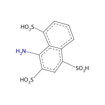 Nc1c(S(=O)(=O)O)cc(S(=O)(=O)O)c2cccc(S(=O)(=O)O)c12